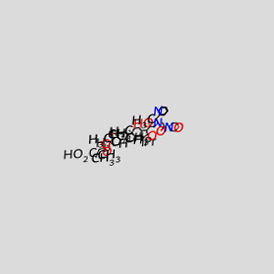 CC(C)C1=C2C(CC[C@]3(C)[C@@H]2CC[C@@H]2[C@@]4(C)CC[C@H](OC(=O)CC(C)(C)C(=O)O)C(C)(C)[C@@H]4CC[C@]23C)C([C@@H](O)CN(CC(=O)N2CCOCC2)[C@@H](C)c2ccccn2)C1=O